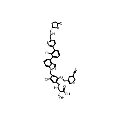 N#Cc1cncc(COc2cc(Cn3ncc4c(-c5cccc(-c6ccc(CNC[C@@H]7CCC(=O)N7)nc6)c5Cl)cccc43)c(Cl)cc2CN[C@@H](CO)C(=O)O)c1